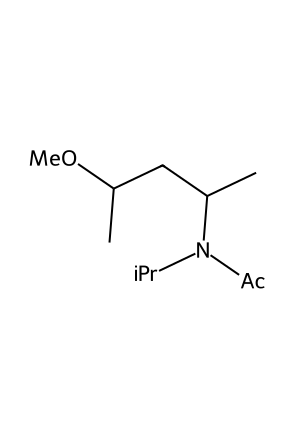 COC(C)CC(C)N(C(C)=O)C(C)C